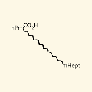 CCCCCCC/C=C/CCCC/C=C/C=C/C=C/C=C/CCCC(CCC)C(=O)O